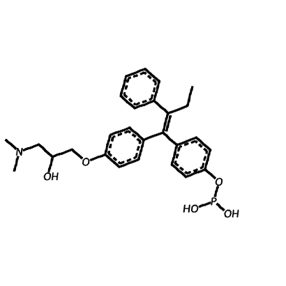 CCC(=C(c1ccc(OCC(O)CN(C)C)cc1)c1ccc(OP(O)O)cc1)c1ccccc1